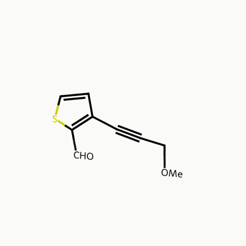 COCC#Cc1ccsc1C=O